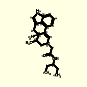 CCC(CC)NC(=O)C[C@@H]1C=C2c3cccc4[nH]cc(c34)C[C@H]2C(C)C1